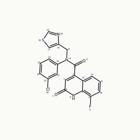 O=C(c1cc(=O)[nH]c2c(F)cccc12)N(Cc1cscn1)c1cccc(Cl)c1